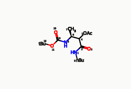 CCCCNC(=O)C(OC(C)=O)[C@H](C)NC(=O)OC(C)(C)C